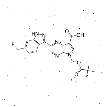 CC(C)(C)C(=O)OCn1cc(C(=O)O)c2nc(-c3n[nH]c4cc(CF)ccc34)cnc21